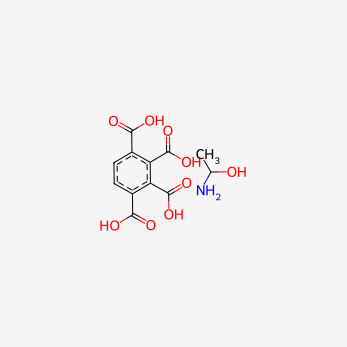 CC(N)O.O=C(O)c1ccc(C(=O)O)c(C(=O)O)c1C(=O)O